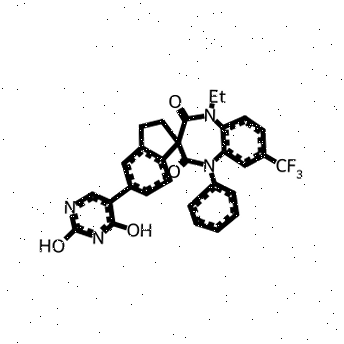 CCN1C(=O)C2(CCc3cc(-c4cnc(O)nc4O)ccc32)C(=O)N(c2ccccc2)c2cc(C(F)(F)F)ccc21